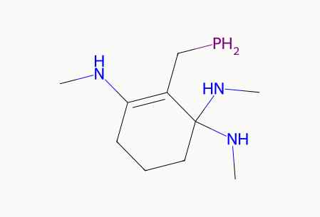 CNC1=C(CP)C(NC)(NC)CCC1